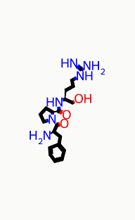 N=C(N)NCCC[C@@H](CO)NC(=O)[C@@H]1CCCN1C(=O)[C@H](N)Cc1ccccc1